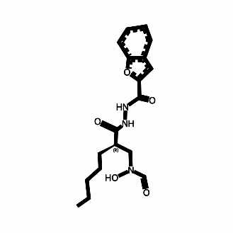 CCCCC[C@H](CN(O)C=O)C(=O)NNC(=O)c1cc2ccccc2o1